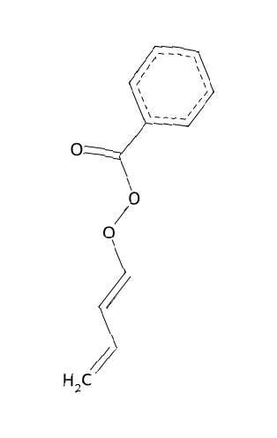 C=CC=COOC(=O)c1ccccc1